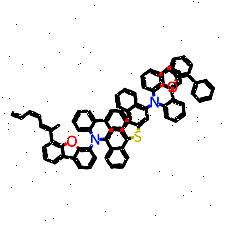 C=C/C=C\C=C(/C)c1cccc2c1oc1c(N(c3ccccc3-c3ccccc3)c3cc4c(sc5cc(N(c6ccccc6-c6ccccc6)c6cccc7c6oc6c(-c8ccccc8)cccc67)c6ccccc6c54)c4ccccc34)cccc12